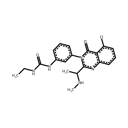 CCNC(=O)Nc1cccc(-n2c(C(C)NC)nc3cccc(Cl)c3c2=O)c1